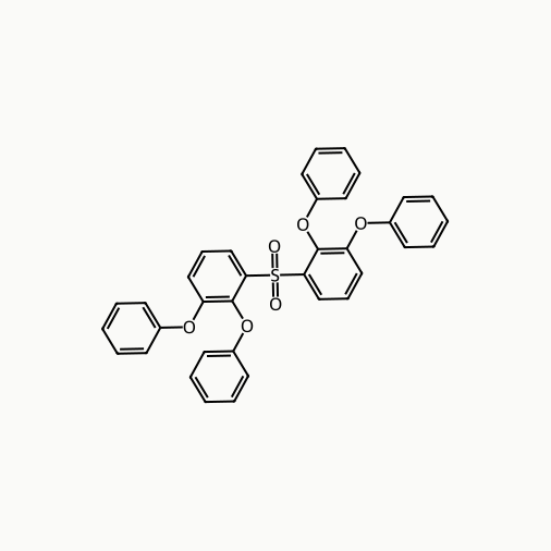 O=S(=O)(c1cccc(Oc2ccccc2)c1Oc1ccccc1)c1cccc(Oc2ccccc2)c1Oc1ccccc1